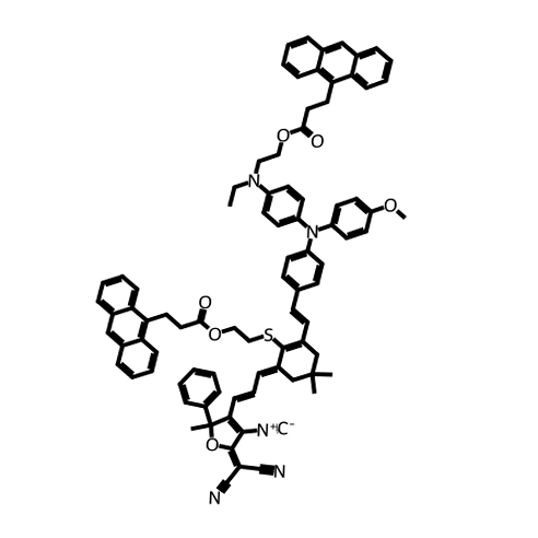 [C-]#[N+]C1=C(/C=C/C=C2\CC(C)(C)CC(/C=C/c3ccc(N(c4ccc(OC)cc4)c4ccc(N(CC)CCOC(=O)CCc5c6ccccc6cc6ccccc56)cc4)cc3)=C2SCCOC(=O)CCc2c3ccccc3cc3ccccc23)C(C)(c2ccccc2)OC1=C(C#N)C#N